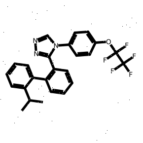 CC(C)c1ccccc1-c1[c]cccc1-c1nncn1-c1ccc(OC(F)(F)C(F)(F)F)cc1